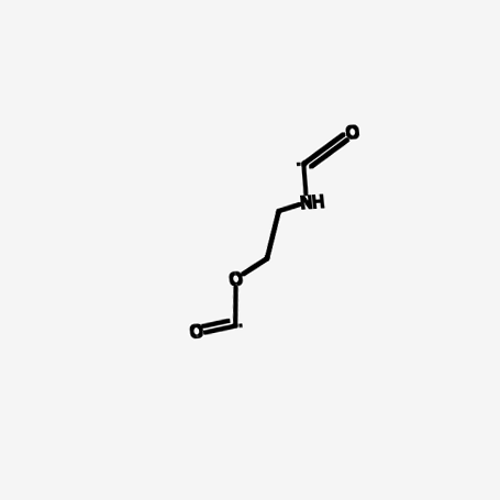 O=[C]NCCO[C]=O